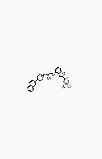 CC1(C)COC(c2cc3c(OC[C@@H](O)CN4CCC(c5ccc6ccccc6c5)CC4)cccc3o2)=N1